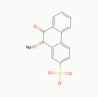 O=C1C(=O)c2cc(S(=O)(=O)[O-])ccc2-c2ccccc21.[Na+]